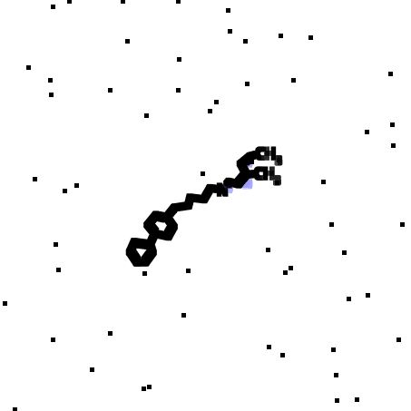 C\C=C/C(C)=C\C=N\CCCCCc1ccc(-c2ccccc2)cc1